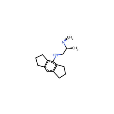 C=N[C@@H](C)CNc1c2c(cc3c1CCC3)CCC2